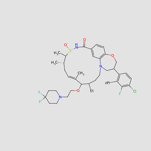 CCCc1c(C2COc3ccc4cc3N(CCC(CC)C(OCCN3CCC(F)(F)CC3)/C(C)=C/C[C@H](C)C(C)[S+]([O-])NC4=O)C2)ccc(Cl)c1F